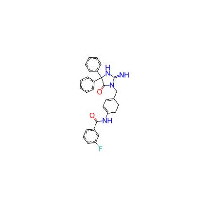 N=C1NC(c2ccccc2)(c2ccccc2)C(=O)N1CC1=CC=C(NC(=O)c2cccc(F)c2)CC1